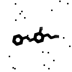 OCCc1ccc(OCc2ccccc2)cc1Cl